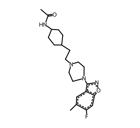 CC(=O)NC1CCC(CCN2CCN(c3noc4cc(F)c(C)cc34)CC2)CC1